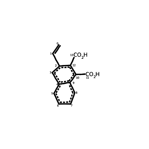 C=Cc1cc2ccccc2c(C(=O)O)c1C(=O)O